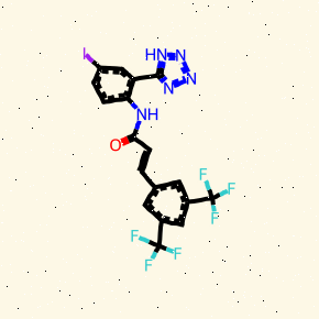 O=C(C=Cc1cc(C(F)(F)F)cc(C(F)(F)F)c1)Nc1ccc(I)cc1-c1nnn[nH]1